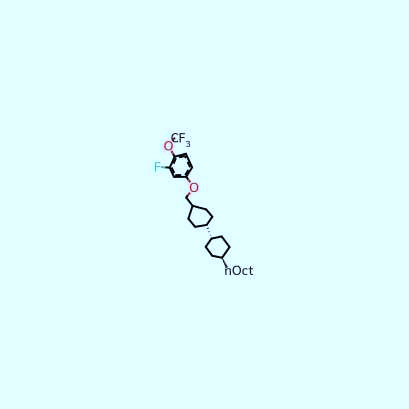 CCCCCCCC[C@H]1CC[C@H](C2CCC(COc3ccc(OC(F)(F)F)c(F)c3)CC2)CC1